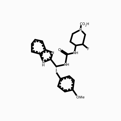 COc1ccc(C[C@@H](NC(=O)NC2CCN(C(=O)O)CC2F)c2nc3ccccc3[nH]2)cc1